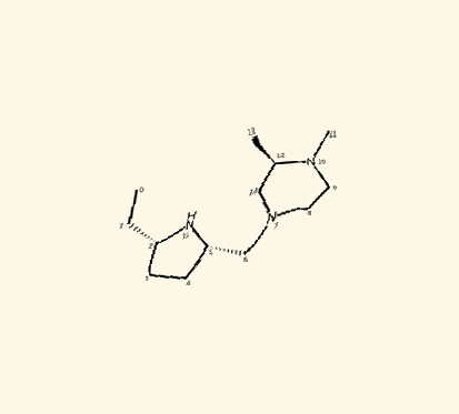 CC[C@H]1CC[C@@H](CN2CCN(C)[C@H](C)C2)N1